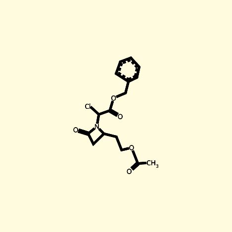 CC(=O)OCCC1CC(=O)N1C(Cl)C(=O)OCc1ccccc1